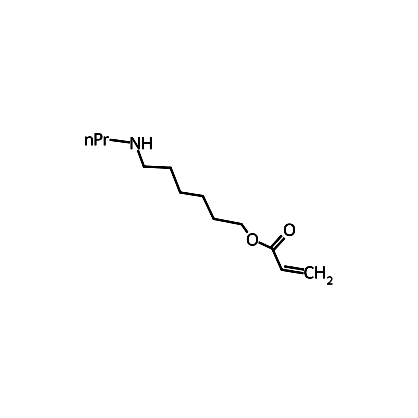 C=CC(=O)OCCCCCCNCCC